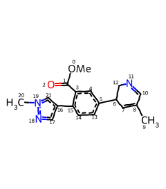 COC(=O)c1cc(C2C=C(C)C=NC2)ccc1-c1cnn(C)c1